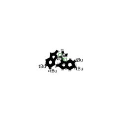 CC1=Cc2cc(C(C)(C)C)c(C(C)(C)C)cc2[CH]1[Zr]([Cl])([Cl])([CH]1C(C)=Cc2cc(C(C)(C)C)c(C(C)(C)C)cc21)=[Si](C)C